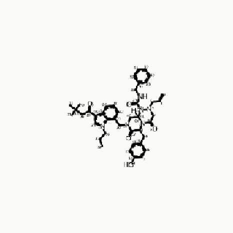 C=CCN1CC(=O)N2[C@@H](Cc3ccc(O)cc3)C(=O)N(Cc3cccc4c(C(=O)CC(C)(C)C)cn(CCC)c34)C[C@@H]2N1C(=O)NCc1ccccc1